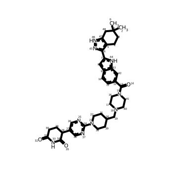 CC1(C)CCc2c(-c3cc4ccc(C(=O)N5CCN(CC6CCN(c7ncc(C8CCC(=O)NC8=O)cn7)CC6)CC5)cc4[nH]3)n[nH]c2C1